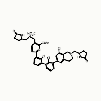 COc1nc(-c2cccc(-c3ccnc(-c4cc(Cl)c5c(c4)CCN(CC4CCC(=O)N4)C5)c3Cl)c2Cl)ccc1CN(CC1CCC(=O)N1)C(=O)O